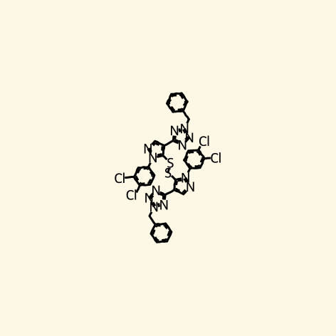 Clc1ccc(-n2ncc(-c3nnn(Cc4ccccc4)n3)c2SSc2c(-c3nnn(Cc4ccccc4)n3)cnn2-c2ccc(Cl)c(Cl)c2)cc1Cl